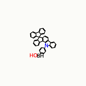 OBc1ccc(-n2c3ccccc3c3ccc4c(c32)-c2ccccc2C42c3ccccc3-c3ccccc32)cc1